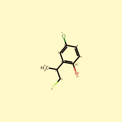 [CH2]C(CF)c1cc(Cl)ccc1Br